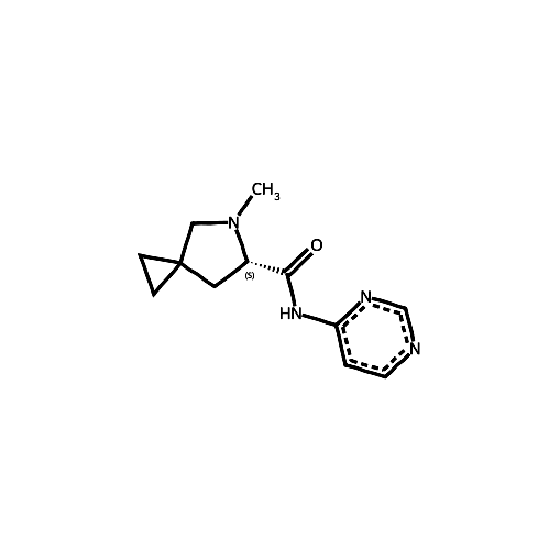 CN1CC2(CC2)C[C@H]1C(=O)Nc1ccncn1